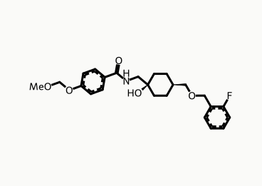 COCOc1ccc(C(=O)NC[C@]2(O)CC[C@@H](COCc3ccccc3F)CC2)cc1